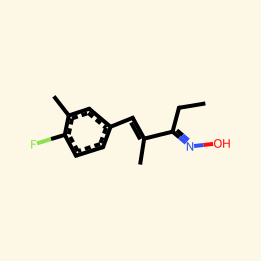 CCC(=N\O)/C(C)=C/c1ccc(F)c(C)c1